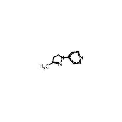 CC1=NN(c2ccncc2)CC1